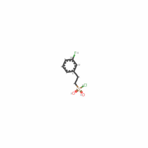 O=S(=O)(Cl)CCc1cccc(F)c1